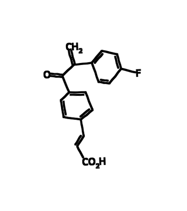 C=C(C(=O)c1ccc(C=CC(=O)O)cc1)c1ccc(F)cc1